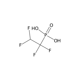 O=P(O)(O)C(F)(F)C(F)F